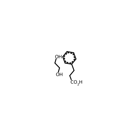 O=C(O)CCc1ccccc1.OCCO